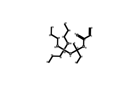 C=CC(=O)OC(C)(CC)O[Si](CCC)(OCCC)OCCC